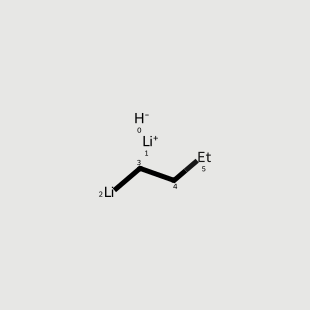 [H-].[Li+].[Li][CH2]CCC